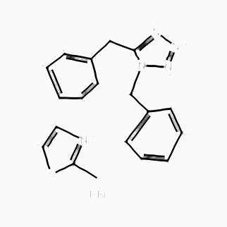 Br.Cc1nccs1.c1ccc(Cc2nnnn2Cc2ccccc2)cc1